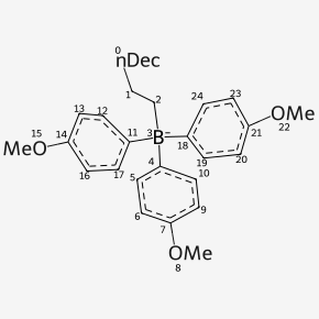 CCCCCCCCCCCC[B-](c1ccc(OC)cc1)(c1ccc(OC)cc1)c1ccc(OC)cc1